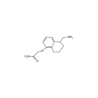 NCC1CCCc2c(OCC(N)=O)cccc21